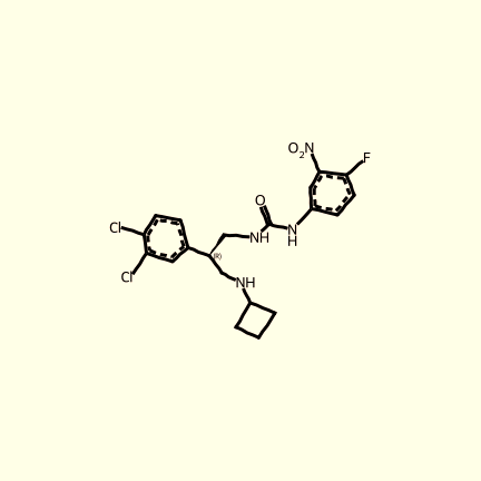 O=C(NC[C@@H](CNC1CCC1)c1ccc(Cl)c(Cl)c1)Nc1ccc(F)c([N+](=O)[O-])c1